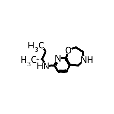 CC[C@@H](C)Nc1ccc2c(n1)OCCNC2